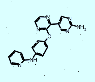 Nc1ncc(-c2nccnc2Oc2ccc(Nc3ccccn3)cc2)cn1